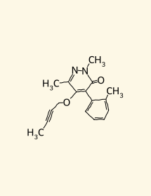 CC#CCOc1c(C)nn(C)c(=O)c1-c1ccccc1C